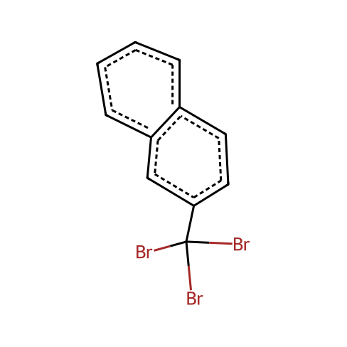 BrC(Br)(Br)c1ccc2ccccc2c1